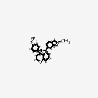 Cn1cc2ccc(C(=O)N[C@]3(c4ccc(OC(F)(F)F)cc4)CCOc4cccnc43)cc2n1